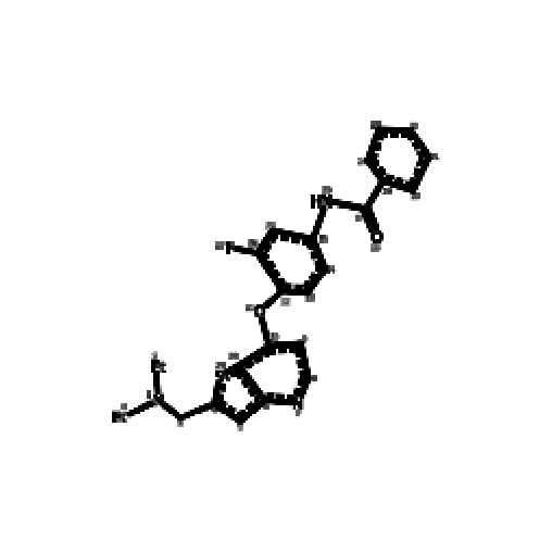 CCN(CC)Cc1cc2nccc(Oc3ccc(NC(=O)c4ccccc4)cc3F)c2s1